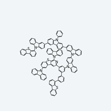 c1ccc(-n2c3ccc(-c4ccc5c(c4)c4ccccc4n5-c4cccc5c4sc4ccccc45)cc3c3ccc(-c4ccc5c6ccccc6n(-c6ccc7c(c6)c6ccccc6n7-c6cc(-c7cccc(-c8cccc9c8sc8ccccc89)c7)cc(-c7cc8c(sc9ccc(-n%10c%11ccccc%11c%11ccccc%11%10)cc98)c(-n8c9ccccc9c9ccccc98)n7)c6)c5c4)cc32)cc1